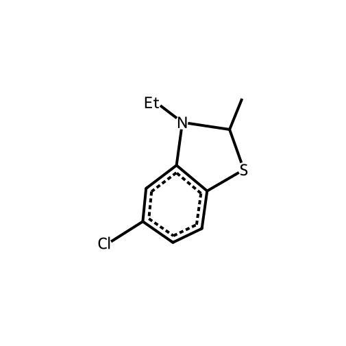 CCN1c2cc(Cl)ccc2SC1C